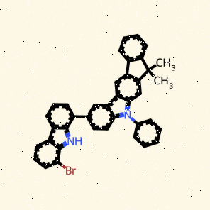 CC1(C)c2ccccc2-c2cc3c4cc(-c5cccc6c5[nH]c5c(Br)cccc56)ccc4n(-c4ccccc4)c3cc21